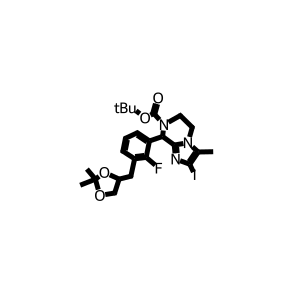 Cc1c(I)nc2n1CCN(C(=O)OC(C)(C)C)C2c1cccc(CC2COC(C)(C)O2)c1F